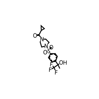 CC(O)(c1ccc(S(=O)(=O)N2CCN(C(=O)C3CC3)CC2)cc1)C(F)(F)F